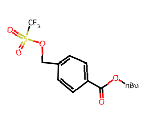 CCCCOC(=O)c1ccc(COS(=O)(=O)C(F)(F)F)cc1